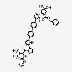 COC(=O)N[C@H](C(=O)N1CCCC1c1ncc(-c2ccc(-c3ccc(-c4cnc([C@@H]5CC(O)(O)CN5C(=O)OCc5ccccc5)[nH]4)cc3)cc2)[nH]1)C(C)C